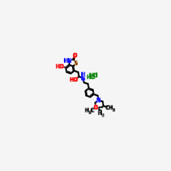 COCN(Cc1cccc(CCNC(O)Cc2ccc(O)c3[nH]c(=O)sc23)c1)CC(C)C.Cl.Cl